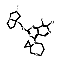 Fc1c(Cl)ncc2c(N3CCCOCC34CC4)nc(OC[C@@]34CCCN3C[C@H](F)C4)nc12